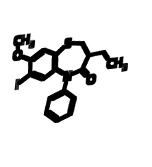 CCC1CSc2cc(OC)c(I)cc2N(c2ccccc2)C1=O